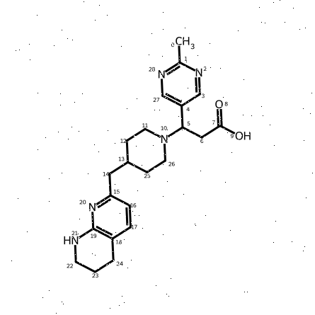 Cc1ncc(C(CC(=O)O)N2CCC(Cc3ccc4c(n3)NCCC4)CC2)cn1